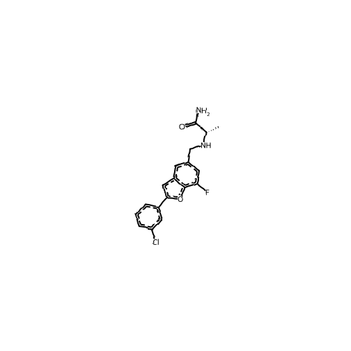 C[C@H](NCc1cc(F)c2oc(-c3cccc(Cl)c3)cc2c1)C(N)=O